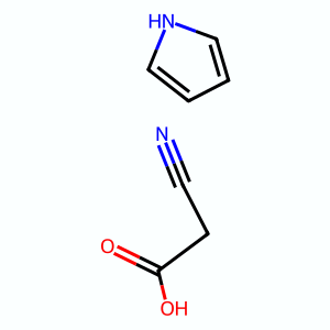 N#CCC(=O)O.c1cc[nH]c1